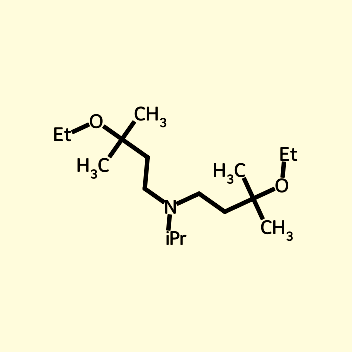 CCOC(C)(C)CCN(CCC(C)(C)OCC)C(C)C